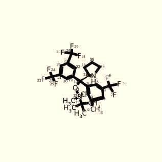 Cc1cc(C(F)(F)F)cc(C(O[Si](C)(C)C(C)(C)C)(c2cc(C(F)(F)F)cc(C(F)(F)F)c2)[C@H]2CCCN2)c1